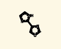 [c]1nc(-c2ncc[nH]2)co1